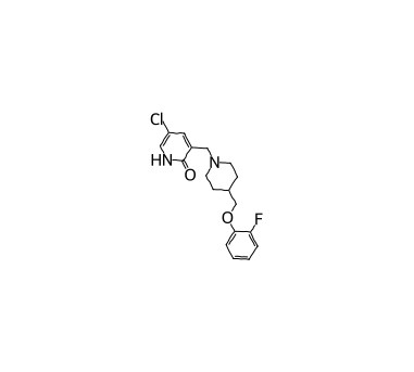 O=c1[nH]cc(Cl)cc1CN1CCC(COc2ccccc2F)CC1